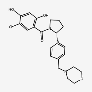 O=C(c1cc(Cl)c(O)cc1O)N1CCC[C@@H]1c1ccc(CN2CCOCC2)cc1